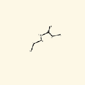 CCCS[C](C)CC